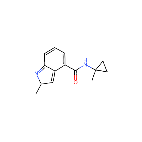 CC1C=c2c(C(=O)NC3(C)CC3)cccc2=N1